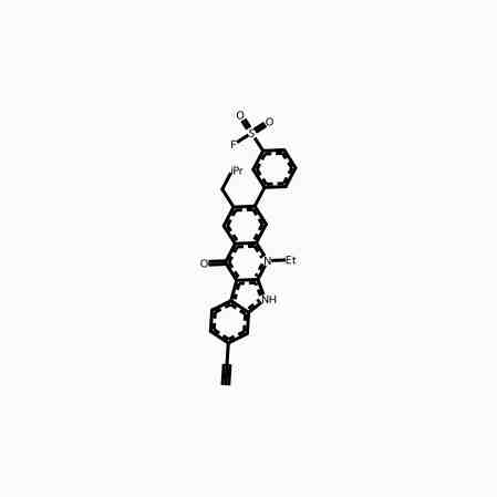 C#Cc1ccc2c(c1)[nH]c1c2c(=O)c2cc(CC(C)C)c(-c3cccc(S(=O)(=O)F)c3)cc2n1CC